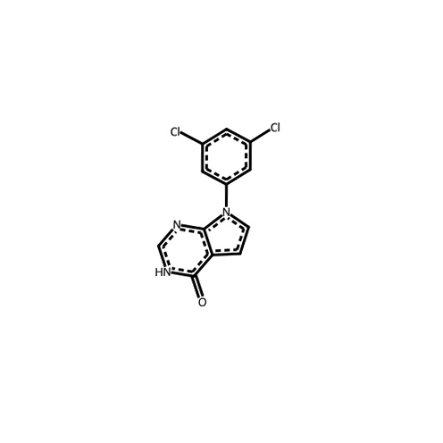 O=c1[nH]cnc2c1ccn2-c1cc(Cl)cc(Cl)c1